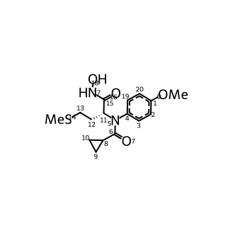 COc1ccc(N(C(=O)C2CC2)[C@H](CCSC)C(=O)NO)cc1